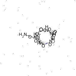 NCCOCCNC(=O)[C@@H]1CCNC(=O)/C=C/C(=O)N2CCCC[C@@H]2CC(=O)N[C@@H](Cc2ccco2)C(=O)NCc2ccccc2CC(=O)N1